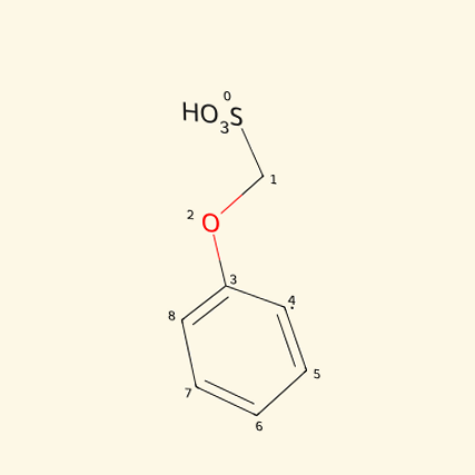 O=S(=O)(O)COc1[c]cccc1